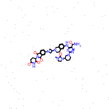 CN1CCN(C2CCCN(c3nnc(C(N)=O)c(Nc4ccc5c(c4)CCN(C4CN(c6ccc7c(c6)C(=O)N(C6CCC(=O)NC6=O)C7=O)C4)C5)n3)C2)C1=O